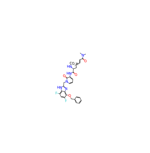 CN(C)C(=O)C=CCCC(NC(=O)O)C(=O)Nc1cccn(Cc2nc3c(OCc4ccccc4)c(F)cc(F)c3[nH]2)c1=O